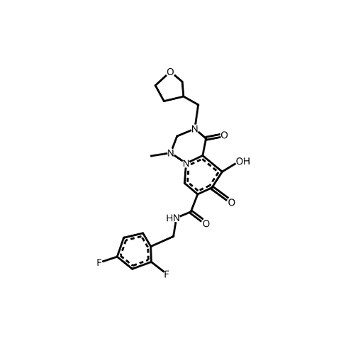 CN1CN(CC2CCOC2)C(=O)c2c(O)c(=O)c(C(=O)NCc3ccc(F)cc3F)cn21